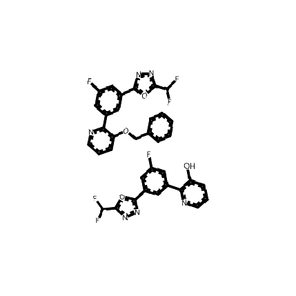 Fc1cc(-c2nnc(C(F)F)o2)cc(-c2ncccc2OCc2ccccc2)c1.Oc1cccnc1-c1cc(F)cc(-c2nnc(C(F)F)o2)c1